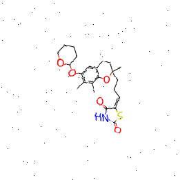 Cc1c(OC2CCCCO2)cc2c(c1C)OC(C)(CCC=C1SC(=O)NC1=O)CC2